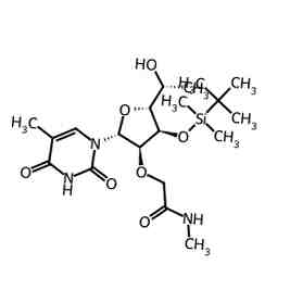 CNC(=O)CO[C@@H]1[C@H](O[Si](C)(C)C(C)(C)C)[C@@H]([C@@H](C)O)O[C@H]1n1cc(C)c(=O)[nH]c1=O